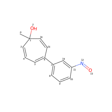 CC1(O)C=CC=C(c2cccc(N=O)c2)C=C1